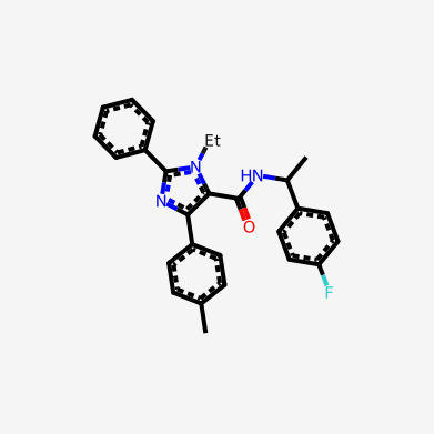 CCn1c(-c2ccccc2)nc(-c2ccc(C)cc2)c1C(=O)NC(C)c1ccc(F)cc1